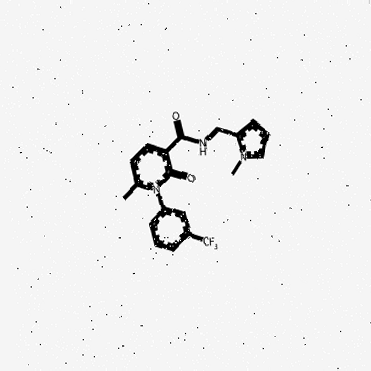 Cc1ccc(C(=O)NCc2cccn2C)c(=O)n1-c1cccc(C(F)(F)F)c1